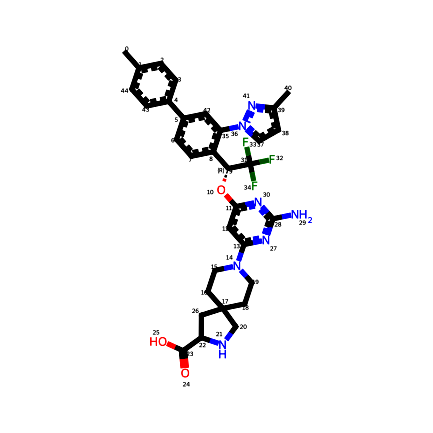 Cc1ccc(-c2ccc([C@@H](Oc3cc(N4CCC5(CC4)CNC(C(=O)O)C5)nc(N)n3)C(F)(F)F)c(-n3ccc(C)n3)c2)cc1